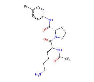 CC(C)c1ccc(NC(=O)[C@@H]2CCCN2C(=O)[C@H](CCCCN)NC(=O)C(F)(F)F)cc1